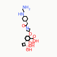 NCCN[C@H]1CC[C@@H](CC(=O)N2CC(Oc3ccc([C@H]4C=C[C@H]4B(O)O)c(O)c3C(=O)O)C2)CC1